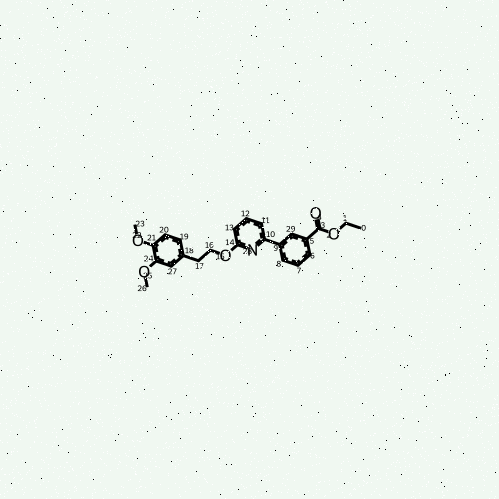 CCOC(=O)c1cccc(-c2cccc(OCCc3ccc(OC)c(OC)c3)n2)c1